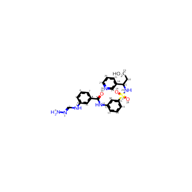 NN=CNc1cccc(C(=O)Nc2cccc(S(=O)(=O)NC(CC(=O)O)c3cccnc3)c2)c1